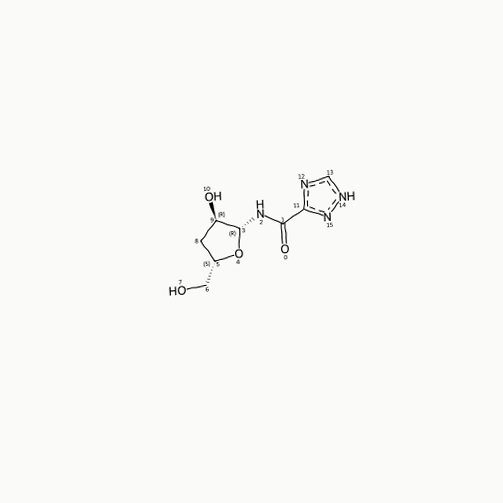 O=C(N[C@@H]1O[C@H](CO)C[C@H]1O)c1nc[nH]n1